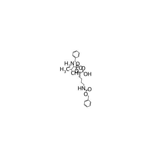 CC(C)C(N)P(=O)(OCc1ccccc1)O[C@@H](CCCCNC(=O)OCc1ccccc1)C(=O)O